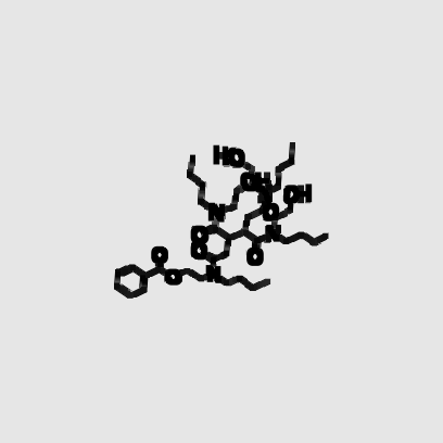 CCCCN(CCO)C(=O)CC(C(=O)N(CCO)CCCC)C(CC(=O)N(CCCC)CCOC(=O)c1ccccc1)C(=O)N(CCO)CCCC